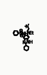 CCN(CCN(C)C)c1cc2[nH]c(C3CCCCC3)nc2cc1NS(=O)(=O)c1ccccc1